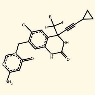 Nc1cc(=O)n(Cc2cc3c(cc2Cl)C(C#CC2CC2)(C(F)(F)F)NC(=O)N3)cn1